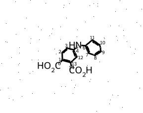 O=C(O)c1ccc(Nc2ccccc2)cc1C(=O)O